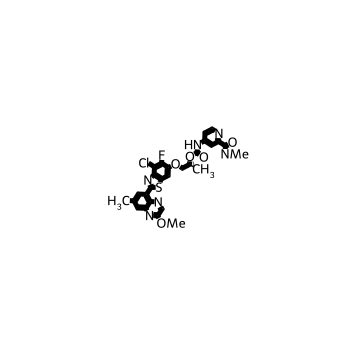 CNC(=O)c1cc(NC(=O)O[C@H](C)COc2cc3sc(-c4cc(C)cc5nc(OC)cnc45)nc3c(Cl)c2F)ccn1